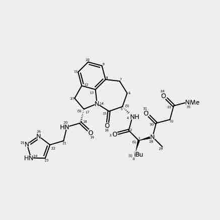 CC[C@H](C)[C@@H](C(=O)N[C@H]1CCc2cccc3c2N(C1=O)[C@H](C(=O)NCc1c[nH]nn1)C3)N(C)C(=O)CC(=O)NC